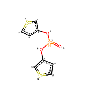 O=[PH](Oc1ccsc1)Oc1ccsc1